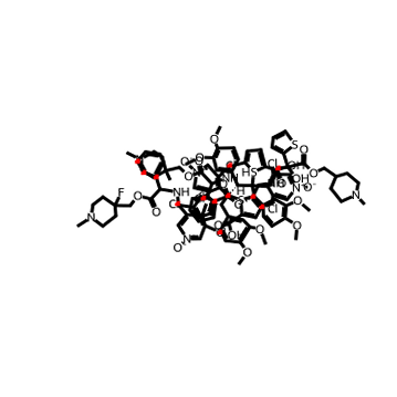 COc1ccc([C@@H](C(c2c(Cl)c[n+]([O-])cc2Cl)([C@@H](Cc2c(Cl)c[n+]([O-])cc2Cl)c2ccc(OC)c(OC)c2)[SH]2C(CNCC(O)(C(=O)OCC3CCN(C)CC3)c3cccs3)=CC=C2C(=O)O)C(c2c(Cl)c[n+]([O-])cc2Cl)([C@@H](OC(=O)c2ccc(CNC(C(=O)OCC3(F)CCN(C)CC3)c3ccccc3)s2)c2ccc(OC)c(OC)c2)[SH]2C(CNC(C(=O)OCC3(C)CCN(C)CC3)c3ccccc3)=CC=C2C(=O)O)cc1OC